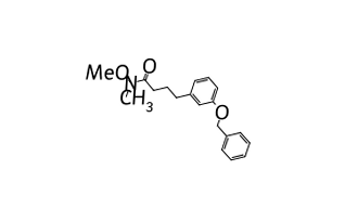 CON(C)C(=O)CCCc1cccc(OCc2ccccc2)c1